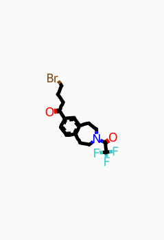 O=C(CCCBr)c1ccc2c(c1)CCN(C(=O)C(F)(F)F)CC2